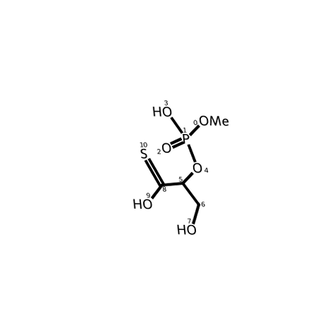 COP(=O)(O)OC(CO)C(O)=S